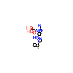 CC1C=C(c2ccnc(Nc3ccc(N(C)CCN(C)C)c(NC(=O)CC(O)O)c3)n2)c2ccccc21